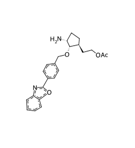 CC(=O)OCC[C@@H]1CC[C@@H](N)[C@H]1OCc1ccc(-c2nc3ccccc3o2)cc1